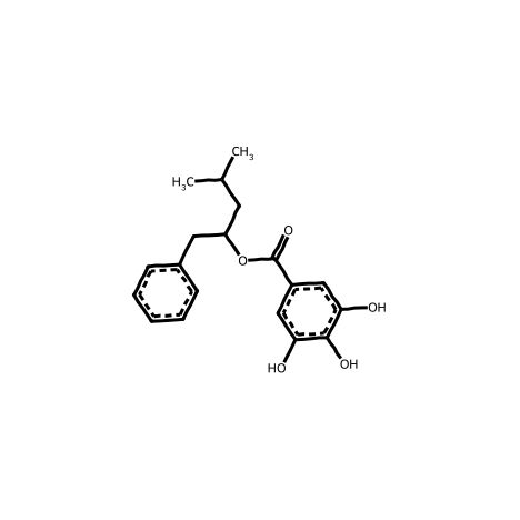 CC(C)CC(Cc1ccccc1)OC(=O)c1cc(O)c(O)c(O)c1